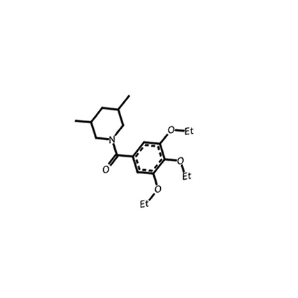 CCOc1cc(C(=O)N2CC(C)CC(C)C2)cc(OCC)c1OCC